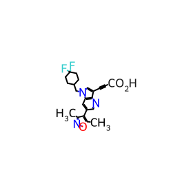 Cc1noc(C)c1-c1cnc2c(C#CC(=O)O)cn(CC3CCC(F)(F)CC3)c2c1